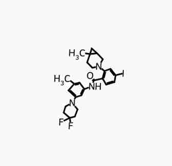 Cc1cc(NC(=O)c2ccc(I)cc2N2CCC3(C)CC3C2)cc(N2CCC(F)(F)CC2)c1